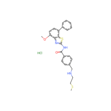 COc1ccc(-c2ccccc2)c2sc(NC(=O)c3ccc(CNCCSC)cc3)nc12.Cl